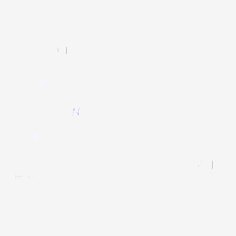 C/C=C\CN(C/C=C\CC)c1ccc(CCCC)cc1